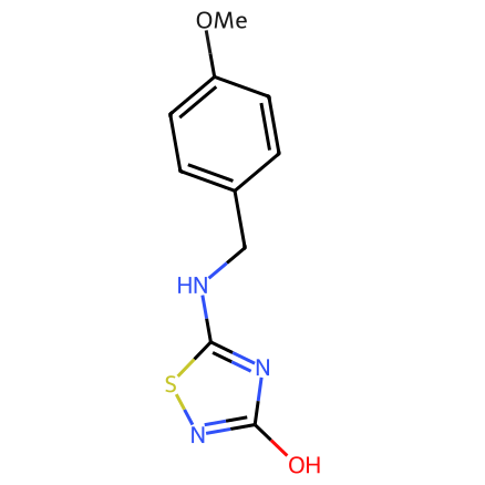 COc1ccc(CNc2nc(O)ns2)cc1